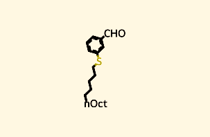 CCCCCCCCCCCCCSc1cccc(C=O)c1